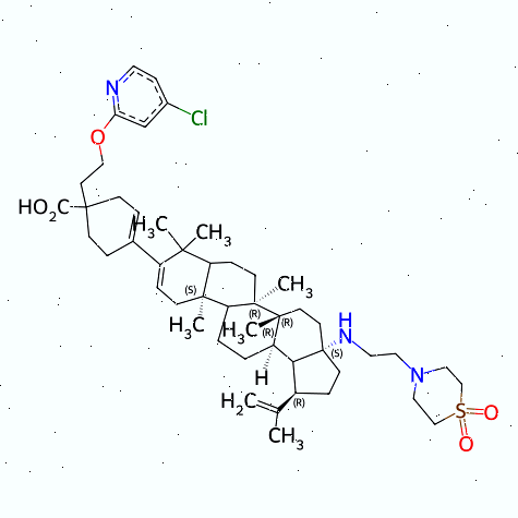 C=C(C)[C@@H]1CC[C@]2(NCCN3CCS(=O)(=O)CC3)CC[C@]3(C)[C@H](CCC4[C@@]5(C)CC=C(C6=CCC(CCOc7cc(Cl)ccn7)(C(=O)O)CC6)C(C)(C)C5CC[C@]43C)C12